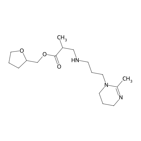 CC1=NCCCN1CCCNCC(C)C(=O)OCC1CCCO1